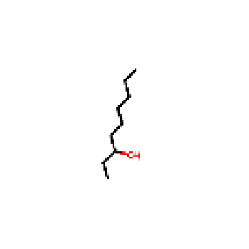 [CH2]CC(O)CCCCCC